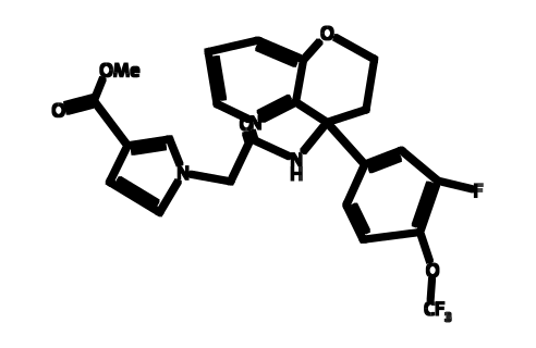 COC(=O)c1ccn(CC(=O)NC2(c3ccc(OC(F)(F)F)c(F)c3)CCOc3cccnc32)c1